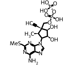 C#C[C@]1(COP(=O)(O)OP(=O)(O)O)[C@H](C)C(n2cnc3c(N)nc(SC)nc32)[C@H](O)[C@@H]1O